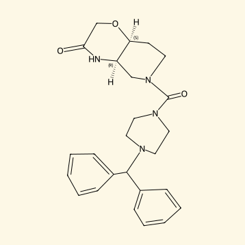 O=C1CO[C@H]2CCN(C(=O)N3CCN(C(c4ccccc4)c4ccccc4)CC3)C[C@H]2N1